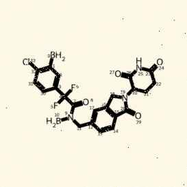 Bc1cc(C(F)(F)C(=O)N(B)Cc2ccc3c(c2)CN(C2CCC(=O)NC2=O)C3=O)ccc1Cl